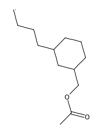 [CH2]CCCC1CCCC(COC(C)=O)C1